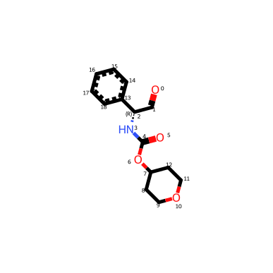 O=C[C@H](NC(=O)OC1CCOCC1)c1ccccc1